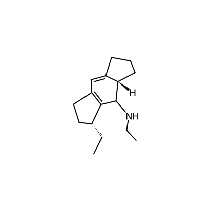 CCNC1C2=C(C=C3CCC[C@@H]31)CC[C@H]2CC